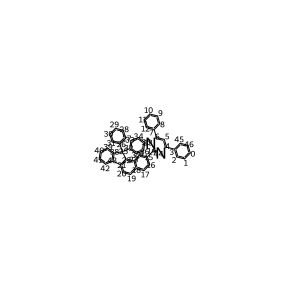 c1ccc(-c2cc(-c3ccccc3)nc(-c3ccc4ccc5c(c4c3)C(c3ccccc3)(c3ccccc3)c3ccccc3-5)n2)cc1